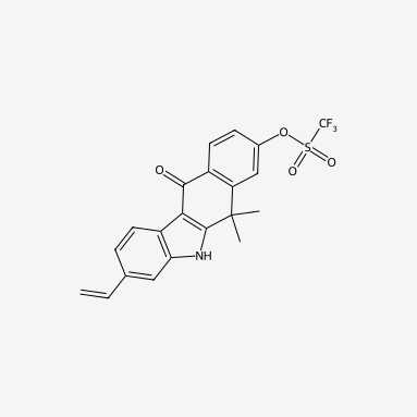 C=Cc1ccc2c3c([nH]c2c1)C(C)(C)c1cc(OS(=O)(=O)C(F)(F)F)ccc1C3=O